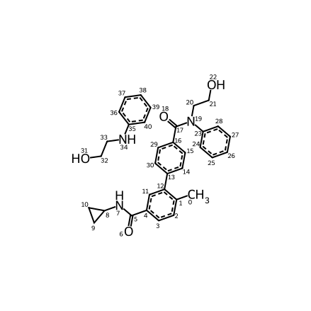 Cc1ccc(C(=O)NC2CC2)cc1-c1ccc(C(=O)N(CCO)c2ccccc2)cc1.OCCNc1ccccc1